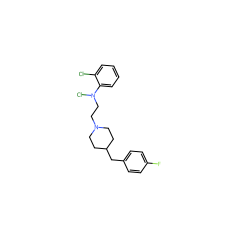 Fc1ccc(CC2CCN(CCN(Cl)c3ccccc3Cl)CC2)cc1